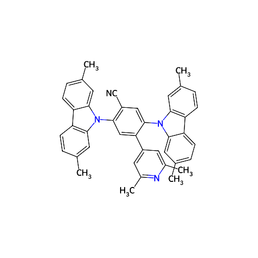 Cc1ccc2c3ccc(C)cc3n(-c3cc(-c4cc(C)nc(C)c4)c(-n4c5cc(C)ccc5c5ccc(C)cc54)cc3C#N)c2c1